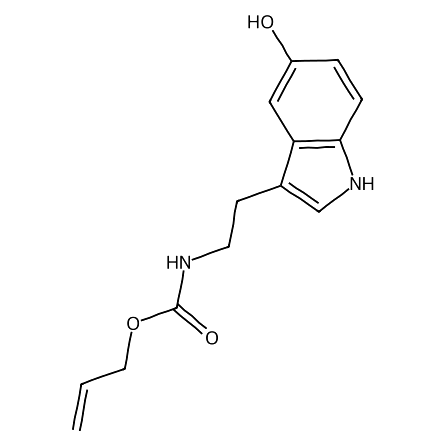 C=CCOC(=O)NCCc1c[nH]c2ccc(O)cc12